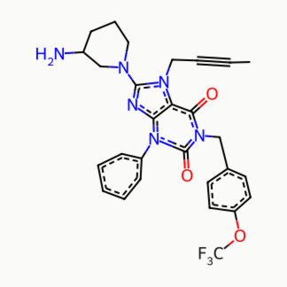 CC#CCn1c(N2CCCC(N)C2)nc2c1c(=O)n(Cc1ccc(OC(F)(F)F)cc1)c(=O)n2-c1ccccc1